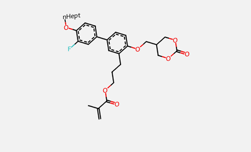 C=C(C)C(=O)OCCCc1cc(-c2ccc(OCCCCCCC)c(F)c2)ccc1OCC1COC(=O)OC1